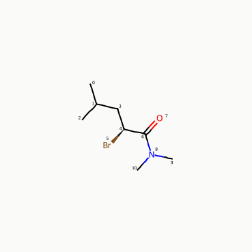 CC(C)C[C@H](Br)C(=O)N(C)C